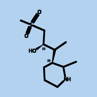 CC1NCCC[C@H]1C(C)[C@H](O)CS(C)(=O)=O